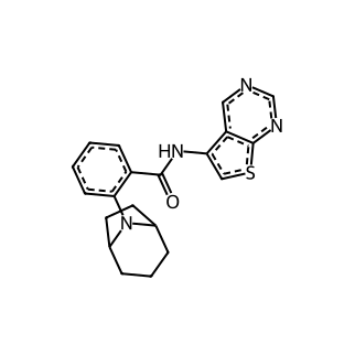 O=C(Nc1csc2ncncc12)c1ccccc1N1C2CCCC1CC2